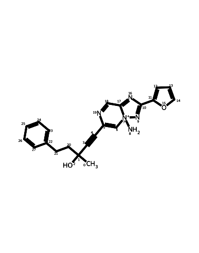 CC(O)(C#CC1=C[N+]2(N)N=C(c3ccco3)N=C2C=N1)CCc1ccccc1